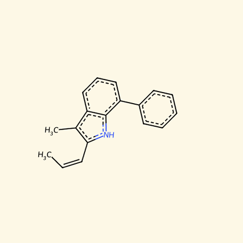 C/C=C\c1[nH]c2c(-c3ccccc3)cccc2c1C